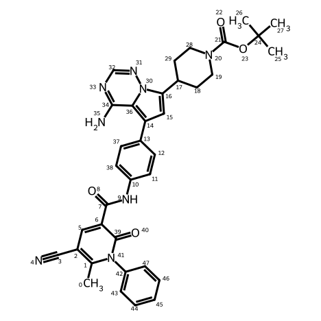 Cc1c(C#N)cc(C(=O)Nc2ccc(-c3cc(C4CCN(C(=O)OC(C)(C)C)CC4)n4ncnc(N)c34)cc2)c(=O)n1-c1ccccc1